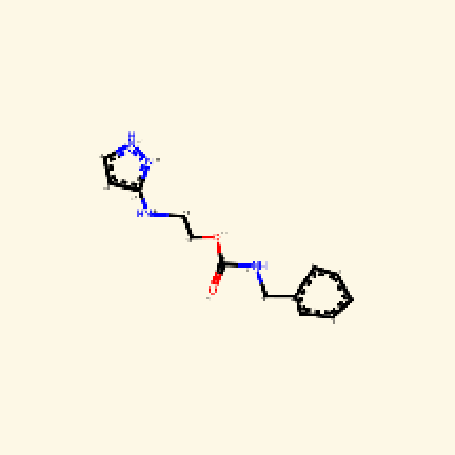 O=C(NCc1ccccc1)OCCNc1cc[nH]n1